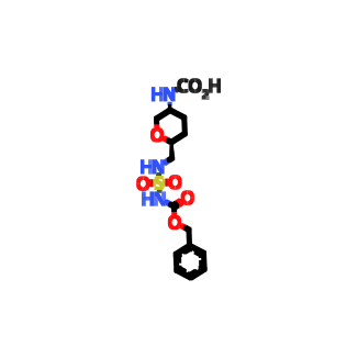 O=C(O)N[C@@H]1CC[C@@H](CNS(=O)(=O)NC(=O)OCc2ccccc2)OC1